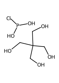 OCC(CO)(CO)CO.OP(O)Cl